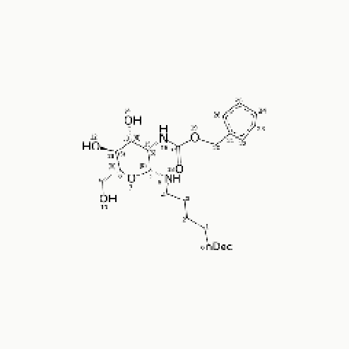 CCCCCCCCCCCCCCN[C@@H]1O[C@H](CO)[C@@H](O)[C@H](O)[C@@H]1NC(=O)OCc1ccccc1